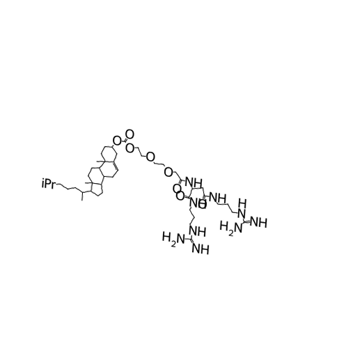 CC(C)CCCC(C)C1CCC2C3CC=C4CC(OC(=O)OCCOCCOCC(=O)NC(CC(=O)NCCCNC(=N)N)C(=O)NCCCNC(=N)N)CCC4(C)C3CCC12C